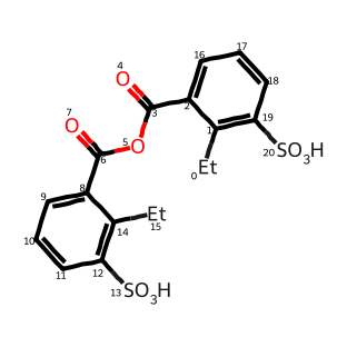 CCc1c(C(=O)OC(=O)c2cccc(S(=O)(=O)O)c2CC)cccc1S(=O)(=O)O